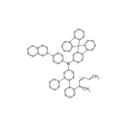 C=C/C=C\C(=C)c1ccccc1-c1ccc(N(c2ccc(-c3ccc4ccccc4c3)cc2)c2ccc3c(c2)C2(c4ccccc4-c4ccccc42)c2ccccc2-3)cc1-c1ccccc1